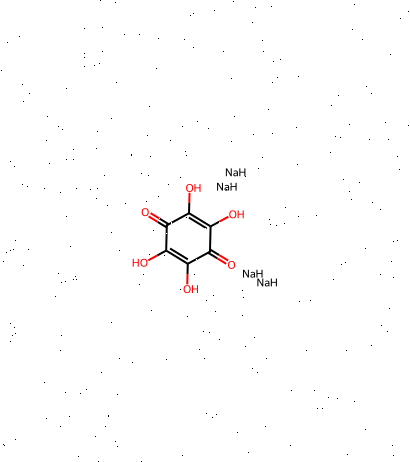 O=C1C(O)=C(O)C(=O)C(O)=C1O.[NaH].[NaH].[NaH].[NaH]